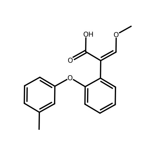 COC=C(C(=O)O)c1ccccc1Oc1cccc(C)c1